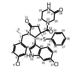 C[C@@H](c1ccc(Cl)cc1)N1C(=O)C[C@@](Sc2ccccc2)(C(=O)N2CCNC(=O)C2)[C@H]1c1c[nH]c2cc(Cl)ccc12